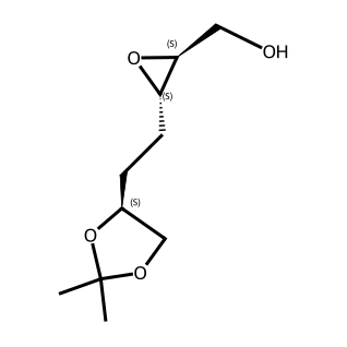 CC1(C)OC[C@H](CC[C@@H]2O[C@H]2CO)O1